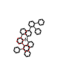 c1ccc(-c2cccc(-c3ccc(N(c4c(-c5ccccc5)cccc4-c4ccccc4)c4cccc5c4c(-c4ccccc4)c(-c4ccccc4)c4ccccc45)cc3)c2-c2ccccc2)cc1